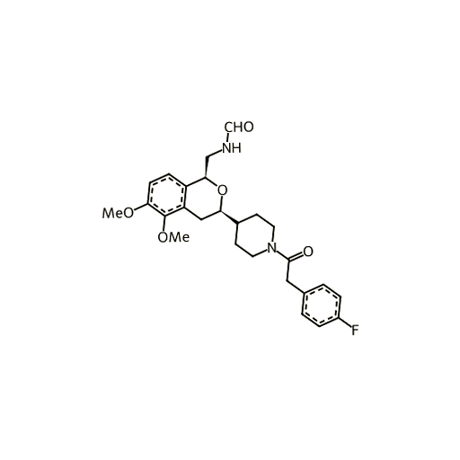 COc1ccc2c(c1OC)C[C@H](C1CCN(C(=O)Cc3ccc(F)cc3)CC1)O[C@@H]2CNC=O